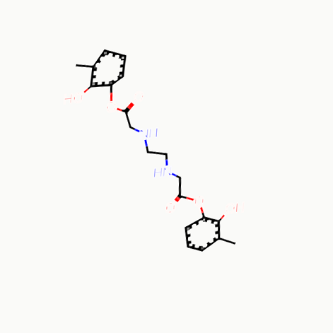 Cc1cccc(OC(=O)CNCCNCC(=O)Oc2cccc(C)c2O)c1O